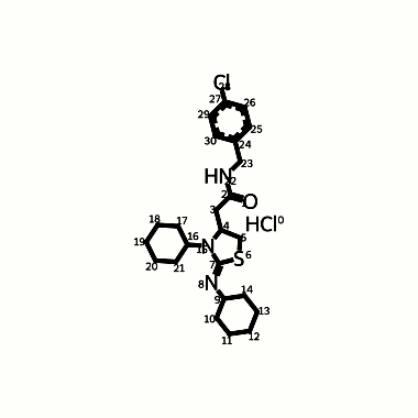 Cl.O=C(CC1CSC(=NC2CCCCC2)N1C1CCCCC1)NCc1ccc(Cl)cc1